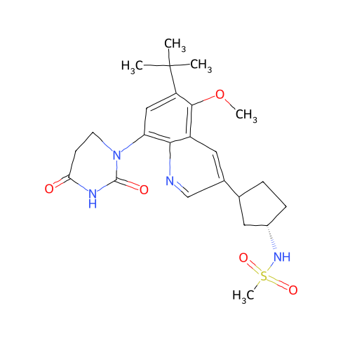 COc1c(C(C)(C)C)cc(N2CCC(=O)NC2=O)c2ncc(C3CC[C@H](NS(C)(=O)=O)C3)cc12